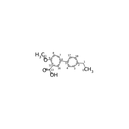 CCc1ccc(-c2ccc(OC)c(C(=O)O)c2)cc1